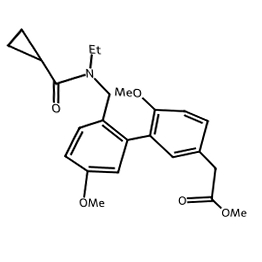 CCN(Cc1ccc(OC)cc1-c1cc(CC(=O)OC)ccc1OC)C(=O)C1CC1